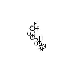 O=C(CC1CCC(=O)N1Cc1cccc(F)c1F)Nc1ncns1